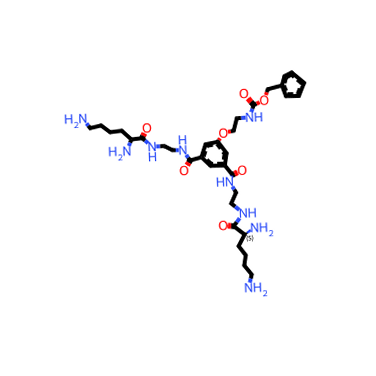 NCCCCC(N)C(=O)NCCNC(=O)c1cc(OCCNC(=O)OCc2ccccc2)cc(C(=O)NCCNC(=O)[C@@H](N)CCCCN)c1